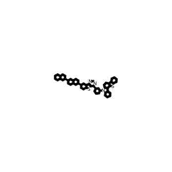 c1cc(-c2ncnc3c2sc2ccc(-c4ccc5cc(-c6ccc7ccccc7c6)ccc5c4)cc23)cc(-n2c3ccccc3c3c4sc5ccccc5c4ccc32)c1